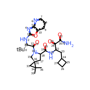 CC(C)(C)[C@H](Nc1nc2ncccc2o1)C(=O)N1C[C@]2(CC1C(=O)NC(CC1CCC1)C(=O)C(N)=O)CC2(C)C